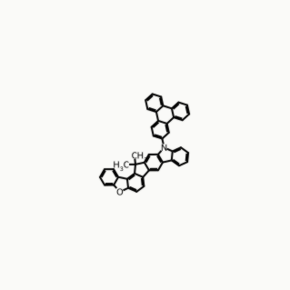 CC1(C)c2cc3c(cc2-c2ccc4oc5ccccc5c4c21)c1ccccc1n3-c1ccc2c3ccccc3c3ccccc3c2c1